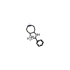 CC(NC1CC/C=C\CCC1O)c1ccccc1